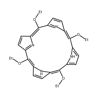 CCOc1c2nc(c(OCC)c3ccc([nH]3)c(OCC)c3ccc([nH]3)c(OCC)c3nc1C=C3)C=C2